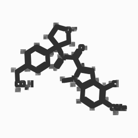 C=[N+](C(=O)c1cc2c(Cl)c(OC)ccc2n1C)C1(c2ccc(CC(=O)O)cc2)CCOC1